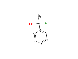 CC(C)C(O)(Cl)c1ccccc1